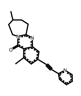 Cc1cc(C#Cc2ccccn2)cc2nc3n(c(=O)c12)CCC(C)CC3